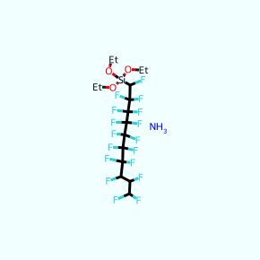 CCO[Si](OCC)(OCC)C(F)C(F)(F)C(F)(F)C(F)(F)C(F)(F)C(F)(F)C(F)(F)C(F)C(F)C(F)F.N